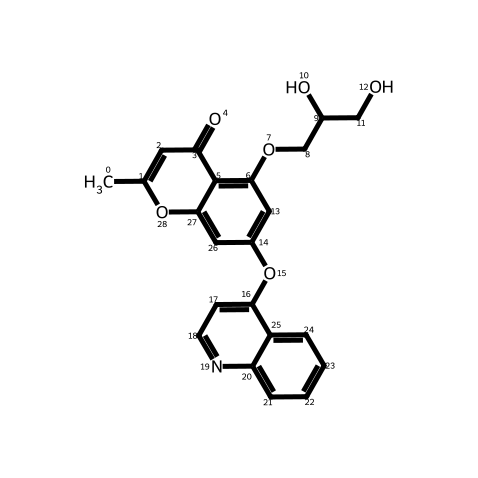 Cc1cc(=O)c2c(OCC(O)CO)cc(Oc3ccnc4ccccc34)cc2o1